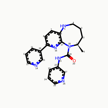 C[C@@H]1CCCNc2ccc(-c3cccnc3)nc2N1C(=O)Nc1cccnc1